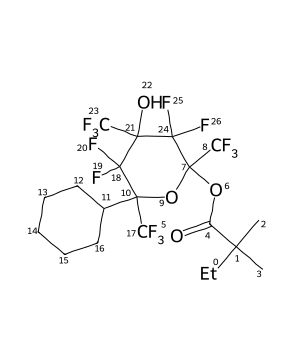 CCC(C)(C)C(=O)OC1(C(F)(F)F)OC(C2CCCCC2)(C(F)(F)F)C(F)(F)C(O)(C(F)(F)F)C1(F)F